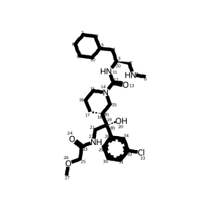 CNC[C@H](CC1CCCCC1)NC(=O)N1CCC[C@@H]([C@](O)(CNC(=O)COC)c2cccc(Cl)c2)C1